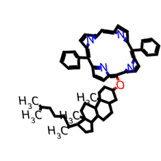 CC(C)CCCC(C)C1CCC2C3CCC4CC(OC5=C6C=CC(=N6)C(c6ccccc6)=C6C=CC(=N6)C=C6C=CC(=N6)C(c6ccccc6)=C6C=CC5=N6)CCC4(C)C3CCC12C